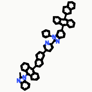 Cc1nc2ccccc2n1-c1c2ccccc2c(-c2ccc3cc(-c4ccc(-c5nc6ccc(-c7c8ccccc8c(-c8ccc9ccccc9c8)c8ccccc78)cc6n5-c5ccccc5)nc4)ccc3c2)c2ccccc12